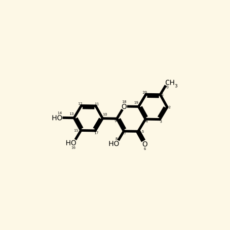 Cc1ccc2c(=O)c(O)c(-c3ccc(O)c(O)c3)oc2c1